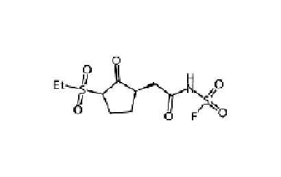 CCS(=O)(=O)C1CC[C@H](CC(=O)NS(=O)(=O)F)C1=O